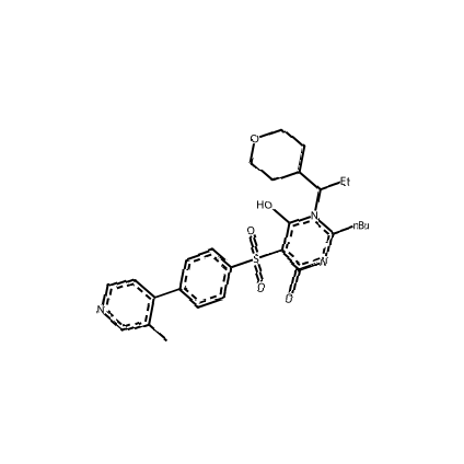 CCCCc1nc(=O)c(S(=O)(=O)c2ccc(-c3ccncc3C)cc2)c(O)n1C(CC)C1CCOCC1